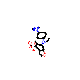 CCN(c1cc2occc2c(C(=O)O)c1C)[C@H]1CC[C@H](N(C)C)CC1